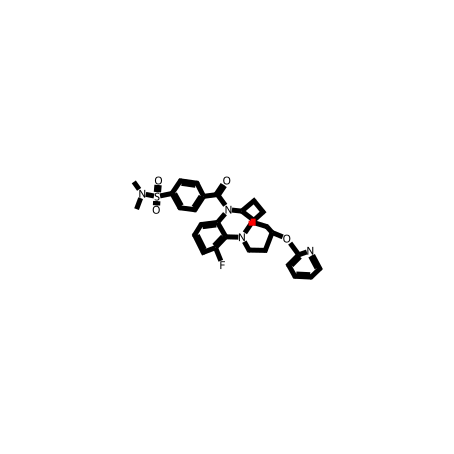 CN(C)S(=O)(=O)c1ccc(C(=O)N(c2cccc(F)c2N2CCC(Oc3ccccn3)CC2)C2CCC2)cc1